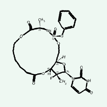 C[C@@H]1N[P@@](=O)(Oc2ccccc2)OC[C@H]2O[C@@H](n3ccc(=O)[nH]c3=O)[C@](C)(F)[C@@H]2OC(=O)CCCCCOC1=O